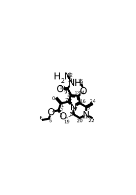 C=C(C(=O)OCC)c1c(C(=O)NN)c(OC)c2n1[C@@H](C)CN(C)C2=C